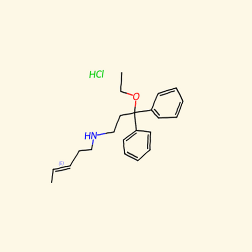 C/C=C/CCNCCC(OCC)(c1ccccc1)c1ccccc1.Cl